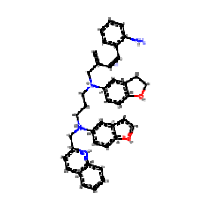 C=C(/C=C\c1ccccc1N)CN(CCCN(Cc1ccc2ccccc2n1)c1ccc2occc2c1)c1ccc2c(c1)CCO2